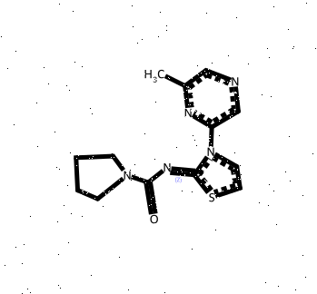 Cc1cncc(-n2ccs/c2=N\C(=O)N2CCCC2)n1